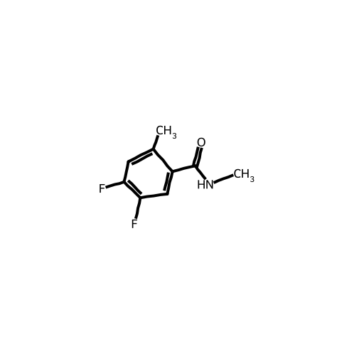 CNC(=O)c1cc(F)c(F)cc1C